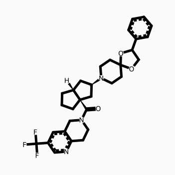 O=C(N1CCc2ncc(C(F)(F)F)cc2C1)[C@@]12CCC[C@@H]1C[C@@H](N1CCC3(CC1)OCC(c1ccccc1)O3)C2